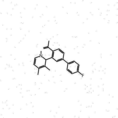 C=C(C)c1ccc(-c2ccc(F)cc2)cc1C1C(C)=C(C)C=CN1C